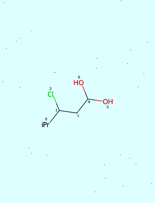 CC(C)C(Cl)CC(O)O